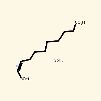 CCCCCCCC/C=C\CCCCCCCC(=O)O.[SbH3]